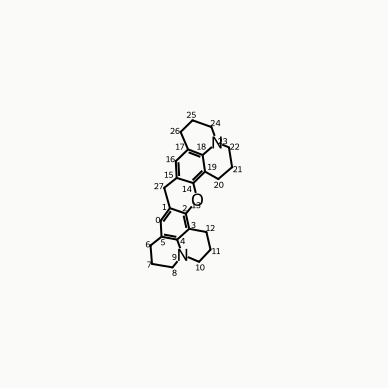 c1c2c(c3c4c1CCCN4CCC3)Oc1c(cc3c4c1CCCN4CCC3)C2